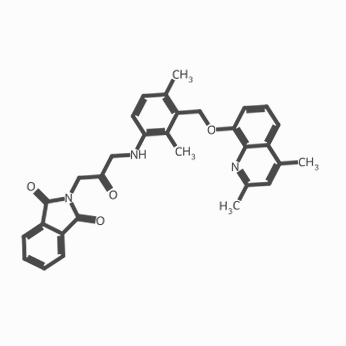 Cc1cc(C)c2cccc(OCc3c(C)ccc(NCC(=O)CN4C(=O)c5ccccc5C4=O)c3C)c2n1